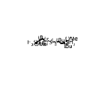 CO[SiH2]C(CCSSSSCCC([SiH2]OC)(C(C)(C)C)C(C)(C)C)(C(C)(C)C)C(C)(C)C